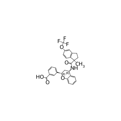 CC1(C(=O)N[C@@H]2C[C@H](c3cccc(C(=O)O)c3)Oc3ccccc32)CCc2cc(OC(F)(F)F)ccc21